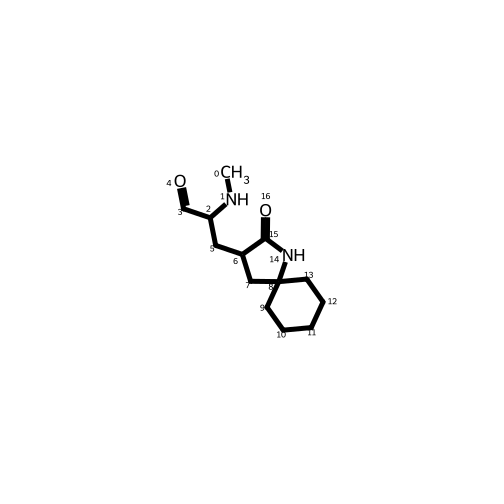 CNC(C=O)CC1CC2(CCCCC2)NC1=O